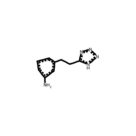 Nc1cccc(CCc2nnn[nH]2)c1